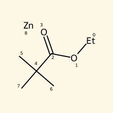 CCOC(=O)C(C)(C)C.[Zn]